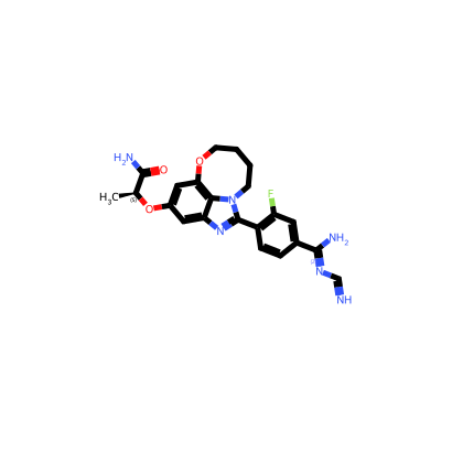 C[C@H](Oc1cc2c3c(c1)nc(-c1ccc(/C(N)=N/C=N)cc1F)n3CCCCO2)C(N)=O